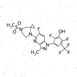 Cc1nn(-c2cc(C(F)(F)F)c(F)c(O)c2F)c2cc(F)c(N3CCN(S(C)(=O)=O)CC34CC4)nc12